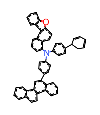 C1=CCC(c2ccc(N(c3ccc(-c4cc5c6ccccc6ccc5c5ccccc45)cc3)c3cccc4c3ccc3oc5ccccc5c34)cc2)C=C1